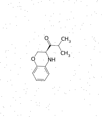 CC(C)C(=O)[C@@H]1COc2ccccc2N1